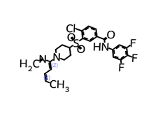 C=N/C(=C\C=C/C)N1CCC(S(=O)(=O)c2cc(C(=O)Nc3cc(F)c(F)c(F)c3)ccc2Cl)CC1